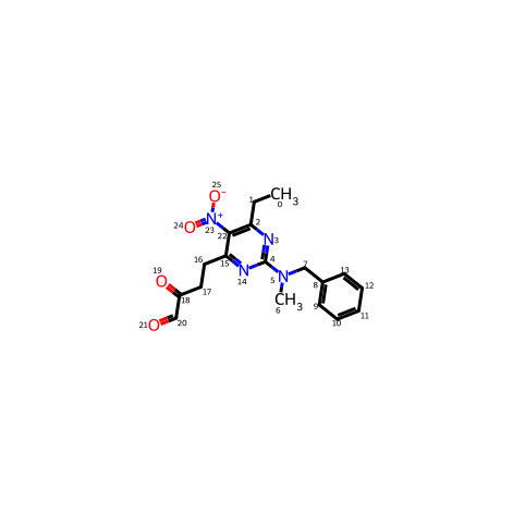 CCc1nc(N(C)Cc2ccccc2)nc(CCC(=O)C=O)c1[N+](=O)[O-]